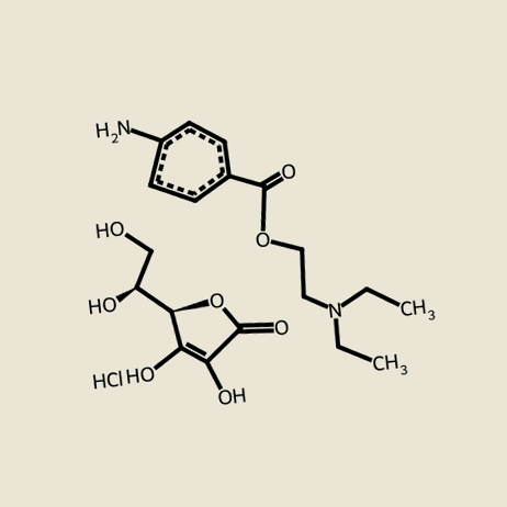 CCN(CC)CCOC(=O)c1ccc(N)cc1.Cl.O=C1O[C@H]([C@@H](O)CO)C(O)=C1O